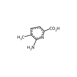 Cc1ccc(C(=O)O)nc1N